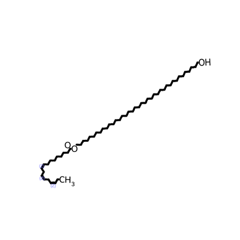 CC/C=C\C/C=C\C/C=C\CCCCCCCC(=O)OCCCCCCCCCCCCCCCCCCCCCCCCCCCCCCCCCCCCCCCO